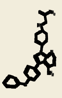 NC(=O)CNC1CCC(n2cc(-c3ccc(Oc4ccccc4)cc3)c3c(N)ncnc32)CC1